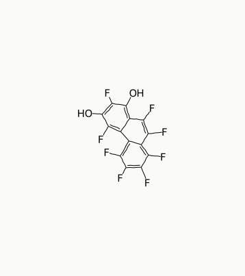 Oc1c(F)c(O)c2c(F)c(F)c3c(F)c(F)c(F)c(F)c3c2c1F